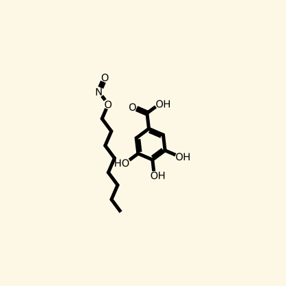 CCCCCCCCON=O.O=C(O)c1cc(O)c(O)c(O)c1